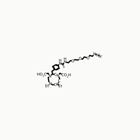 CCN1CCN(CC)CCN(CC(=O)O)C(Cc2ccc(NC(=S)NCCOCCOCCOCCN=[N+]=[N-])cc2)CN(CC(=O)O)CC1